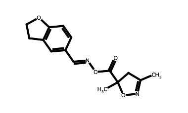 CC1=NOC(C)(C(=O)O/N=C/c2ccc3c(c2)CCO3)C1